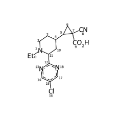 CCN1CCC(C2CC2(C#N)C(=O)O)CC1c1ncc(Cl)cn1